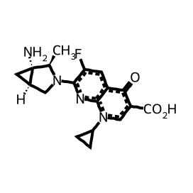 C[C@H]1N(c2nc3c(cc2F)c(=O)c(C(=O)O)cn3C2CC2)C[C@H]2C[C@]21N